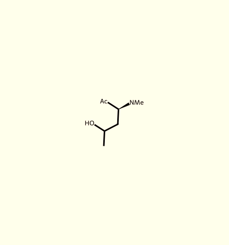 CN[C@@H](CC(C)O)C(C)=O